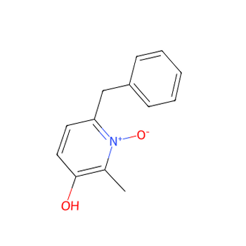 Cc1c(O)ccc(Cc2ccccc2)[n+]1[O-]